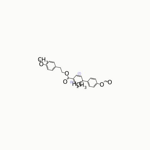 C=C(/C=C\C(=C/C)C(=O)OCCc1ccc(OC)cc1)c1ccc(OC=O)cc1